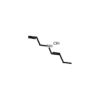 C=CCNC=CCC.Cl